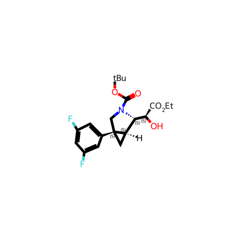 CCOC(=O)[C@@H](O)[C@@H]1[C@H]2C[C@]2(c2cc(F)cc(F)c2)CN1C(=O)OC(C)(C)C